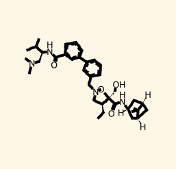 CC[C@H]1CN(Cc2cccc(-c3cccc(C(=O)N[C@@H](CN(C)C)C(C)C)c3)c2)O[C@@]1(CO)C(=O)N[C@@H]1C[C@@H]2C[C@H](C1)C2(C)C